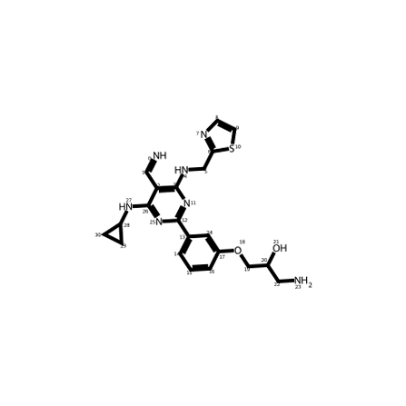 N=Cc1c(NCc2nccs2)nc(-c2cccc(OCC(O)CN)c2)nc1NC1CC1